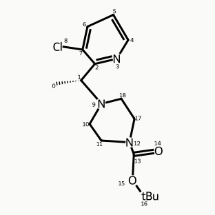 C[C@H](c1ncccc1Cl)N1CCN(C(=O)OC(C)(C)C)CC1